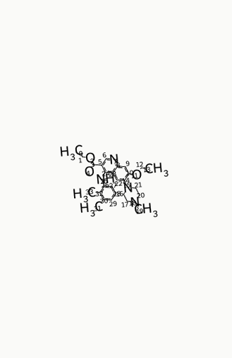 CCOC(=O)c1cnc2cc(OCC)c(N3CCN(C)CC3)cc2c1Nc1cccc(C)c1C